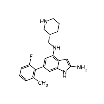 Cc1cccc(F)c1-c1cc(NC[C@H]2CCCNC2)c2cc(N)[nH]c2c1